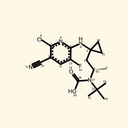 C[C@@H](CC1(Nc2nc(Cl)c(C#N)cc2F)CC1)N(C(=O)O)C(C)(C)C